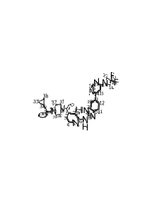 CC(c1ccnc(Nc2nc3ccc(-c4cc(N5CC(F)(F)C5)ncn4)cc3[nH]2)c1)N1CCN(C(=O)C2CC2)CC1